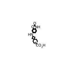 O=C(O)N1CCC2(CC1)CC(Nc1ccc3[nH]c(=O)oc3c1)C2